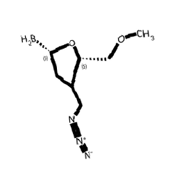 B[C@H]1CC(CN=[N+]=[N-])[C@@H](COC)O1